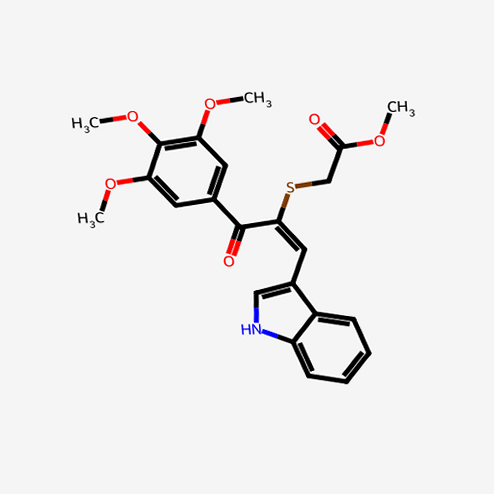 COC(=O)CS/C(=C/c1c[nH]c2ccccc12)C(=O)c1cc(OC)c(OC)c(OC)c1